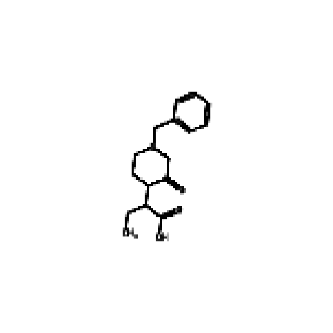 CCC(C(=O)O)C1CCN(Cc2ccccc2)CC1=O